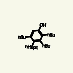 CCCCCCCc1c(CCCC)cc(O)c(CCCC)c1CCCC